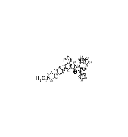 CCN1CCC(c2ccc(-c3cc4c(c(C(F)(F)F)c3)CN(C(C(=O)Nc3nccs3)c3ncn5c3CCC5)C4=O)cc2)CC1